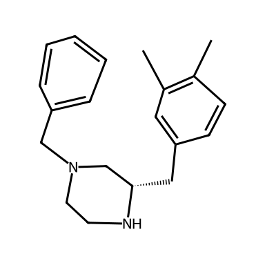 Cc1ccc(C[C@H]2CN(Cc3ccccc3)CCN2)cc1C